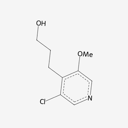 COc1cncc(Cl)c1CCCO